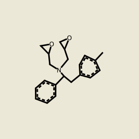 Cc1ccc(CC(c2ccccc2)N(CC2CO2)CC2CO2)cc1